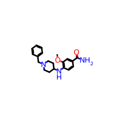 COc1cc(C(N)=O)ccc1NC1CCN(Cc2ccccc2)CC1